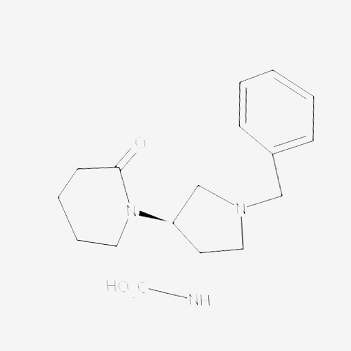 O=C(O)N[C@H]1CN(Cc2ccccc2)C[C@@H]1N1CCCCC1=O